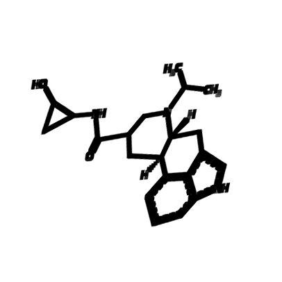 CC(C)N1CC(C(=O)NC2CC2O)C[C@@H]2c3cccc4[nH]cc(c34)C[C@H]21